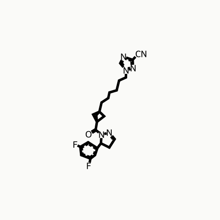 N#Cc1ncn(CCCCCCC23CC(C(=O)N4N=CCC4c4cc(F)cc(F)c4)(C2)C3)n1